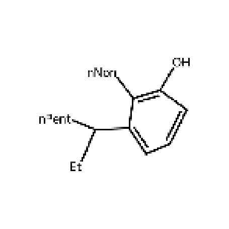 CCCCCCCCCc1c(O)cccc1C(CC)CCCCC